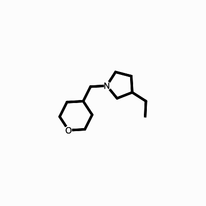 CCC1CCN(CC2CCOCC2)C1